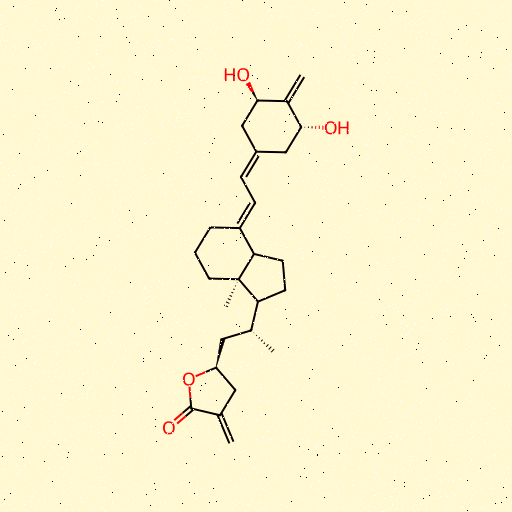 C=C1C[C@H](C[C@@H](C)C2CCC3/C(=C/C=C4C[C@@H](O)C(=C)[C@H](O)C4)CCC[C@@]32C)OC1=O